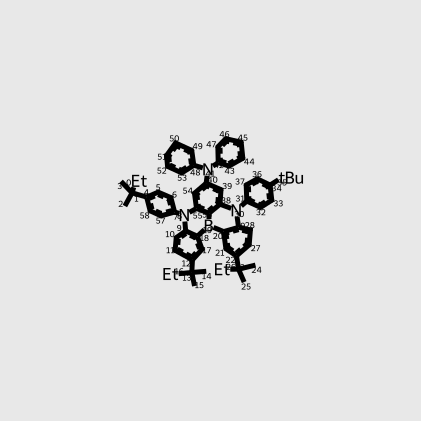 CCC(C)(C)c1ccc(N2c3ccc(C(C)(C)CC)cc3B3c4cc(C(C)(C)CC)ccc4N(c4ccc(C(C)(C)C)cc4)c4cc(N(c5ccccc5)c5ccccc5)cc2c43)cc1